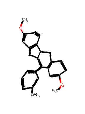 COc1ccc2c(c1)CC1=C(c3cccc(C)c3)c3cc(OC)ccc3CC12